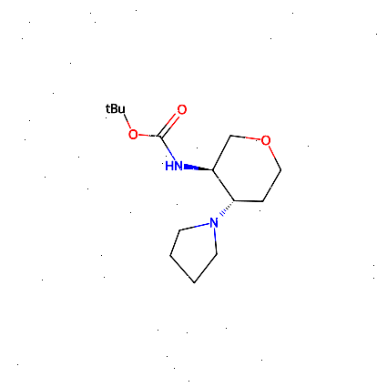 CC(C)(C)OC(=O)N[C@H]1COCC[C@@H]1N1CCCC1